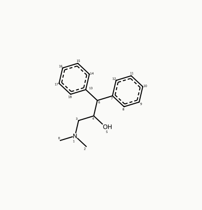 CN(C)CC(O)C(c1ccccc1)c1ccccc1